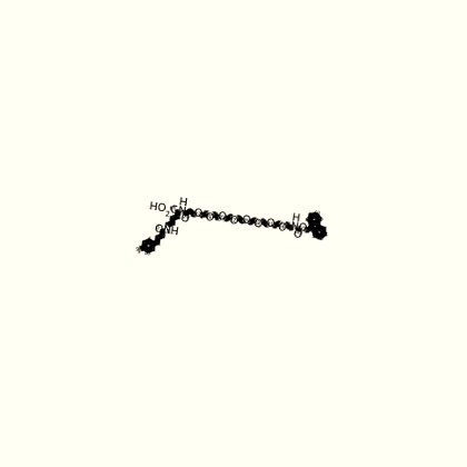 O=C(CCCc1ccc(I)cc1)NCCCC[C@H](NC(=O)CCOCCOCCOCCOCCOCCOCCOCCOCCNC(=O)OCC1c2ccccc2-c2ccccc21)C(=O)O